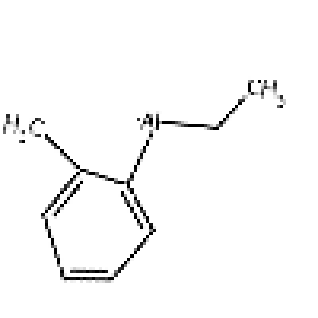 C[CH2][Al][c]1ccccc1C